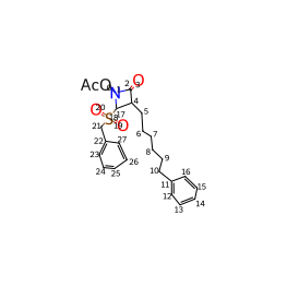 CC(=O)ON1C(=O)C(CCCCCCc2ccccc2)C1S(=O)(=O)Cc1ccccc1